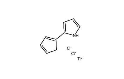 C1=CCC(c2ccc[nH]2)=C1.[Cl-].[Cl-].[Ti+2]